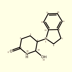 O=C1CCC(N2CCc3ccccc32)C(O)N1